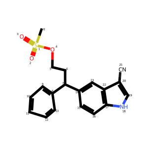 CS(=O)(=O)OCCC(c1ccccc1)c1ccc2[nH]cc(C#N)c2c1